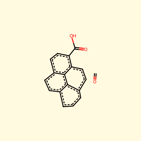 C=O.O=C(O)c1ccc2ccc3cccc4ccc1c2c34